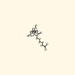 CCO[Si](CCCCCCCC(C)C)(OCC)OCC